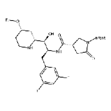 CCCCCN1C[C@@H](C(=O)N[C@@H](Cc2cc(F)cc(F)c2)[C@H](O)[C@H]2C[C@@H](OCC)CCN2)CC1=O